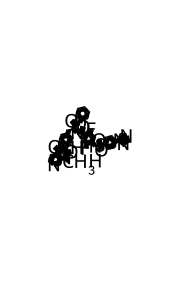 Cn1c(=O)n(-c2ccc(C[C@H](NC(=O)c3cc(F)c(NS(=O)(=O)c4ccc(-n5cncn5)cc4)cc3F)C(=O)OC3CCCCC3)cc2)c(=O)c2ccncc21